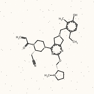 C=CC(=O)N1CCN(c2nc(OC[C@@H]3CCCN3C)nc3c2CN(Cc2c(CC)ccc(O)c2C)C3)C[C@@H]1CC#N